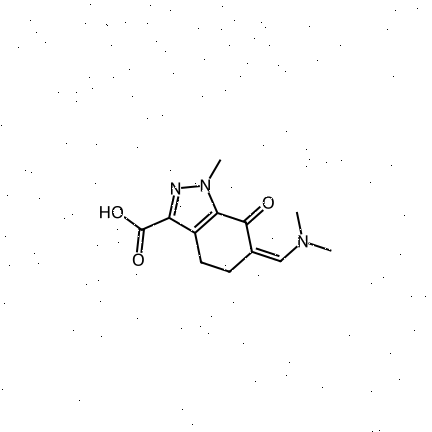 CN(C)/C=C1/CCc2c(C(=O)O)nn(C)c2C1=O